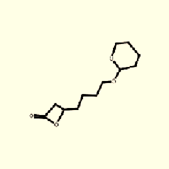 O=C1CC(CCCCOC2CCCCO2)O1